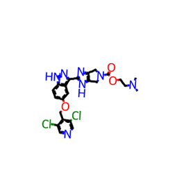 CN(C)CCOC(=O)N1Cc2nc(-c3n[nH]c4ccc(OCc5c(Cl)cncc5Cl)cc34)[nH]c2C1